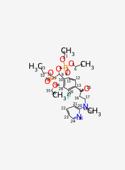 CCOP(=O)(OCC)OC(c1ccc(C(=O)CCN(C)c2ccccn2)c(F)c1)P(=O)(OCC)OCC